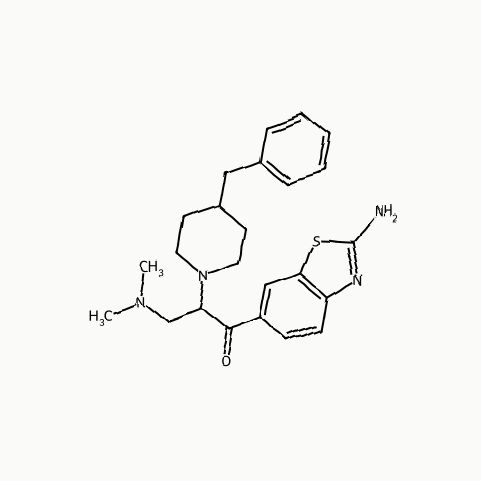 CN(C)CC(C(=O)c1ccc2nc(N)sc2c1)N1CCC(Cc2ccccc2)CC1